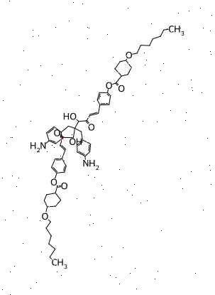 CCCCCCCOC1CCC(C(=O)Oc2ccc(/C=C/C(=O)C(O)C(Cc3ccc(N)cc3)(Cc3ccc(N)cc3)C(O)C(=O)/C=C/c3ccc(OC(=O)C4CCC(OCCCCCCC)CC4)cc3)cc2)CC1